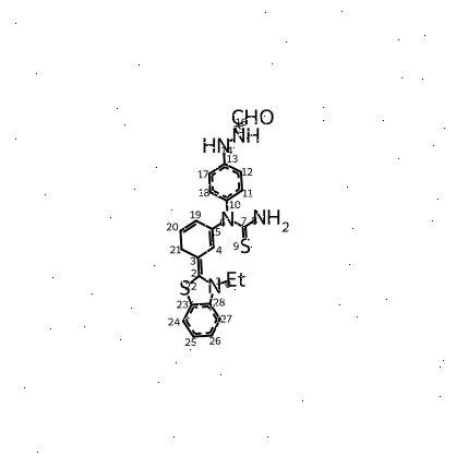 CCN1C(=C2C=C(N(C(N)=S)c3ccc(NNC=O)cc3)C=CC2)Sc2ccccc21